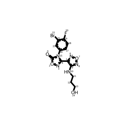 O=c1onc(-c2nonc2NCCCO)n1-c1ccc(F)c(Br)c1